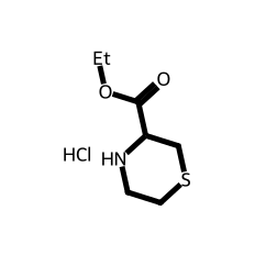 CCOC(=O)C1CSCCN1.Cl